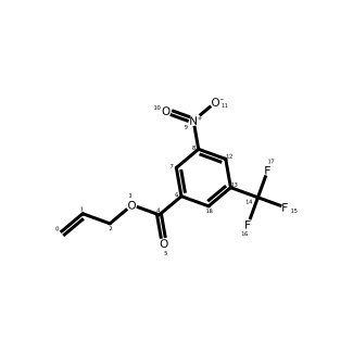 C=CCOC(=O)c1cc([N+](=O)[O-])cc(C(F)(F)F)c1